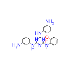 CN(c1nc(Nc2cccc(N)c2)nc(Nc2cccc(N)c2)n1)c1ccccc1O